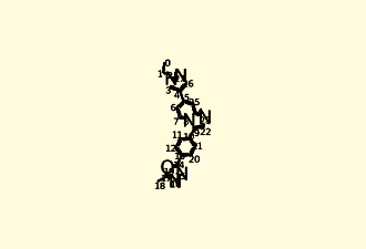 CCn1cc(-c2ccn3c(-c4ccc(-c5nnc(C)o5)cc4)cnc3c2)cn1